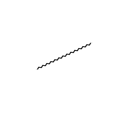 [CH2]CCCCCCCCCCCCCCCCCCCCCCCCCC[CH2]